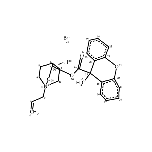 C=CC[N+]12CCC(CC1)[C@@H](OC(=O)C1(C)c3ccccc3Oc3ccccc31)C2.[Br-]